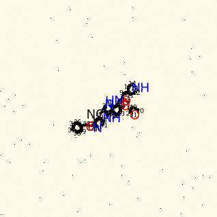 N#Cc1cnc2c(NC(=O)C=C3CCNCC3)c(OC3CCOC3)ccc2c1Nc1ccc(OCc2ccccc2)nc1